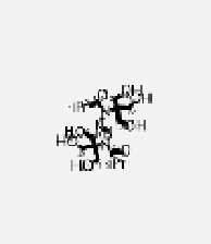 C[C](C)C(=O)N(N=NN(C(=O)[C](C)C)C(CO)(CO)CO)C(CO)(CO)CO